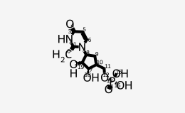 C=C1NC(=O)C=CN1C1CC(COP(=O)(O)O)[C@@H](O)C1O